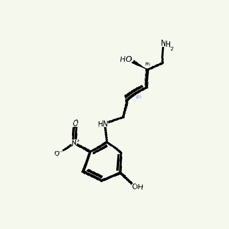 NC[C@H](O)/C=C/CNc1cc(O)ccc1[N+](=O)[O-]